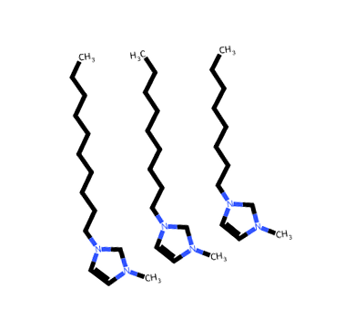 CCCCCCCCCCN1C=CN(C)C1.CCCCCCCCCN1C=CN(C)C1.CCCCCCCCN1C=CN(C)C1